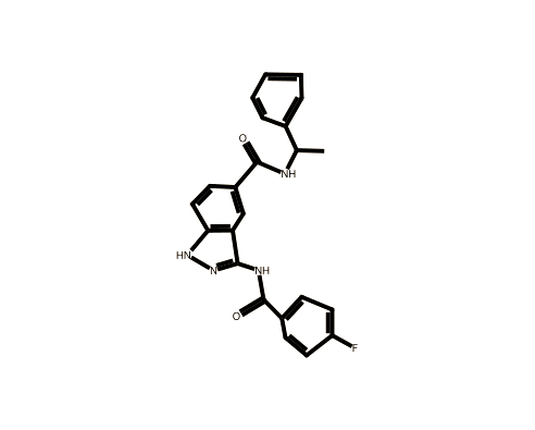 CC(NC(=O)c1ccc2[nH]nc(NC(=O)c3ccc(F)cc3)c2c1)c1ccccc1